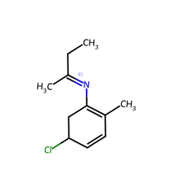 CC/C(C)=N/C1=C(C)C=CC(Cl)C1